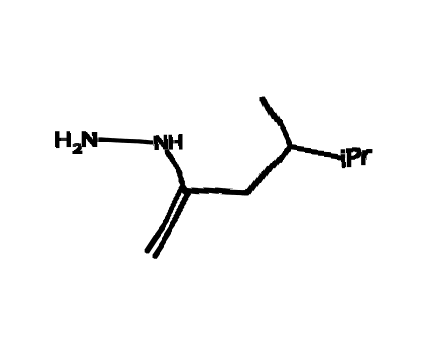 C=C(CC(C)C(C)C)NN